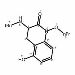 CCCON1C(=O)C(NC(C)(C)C)Cc2c(O)cccc21